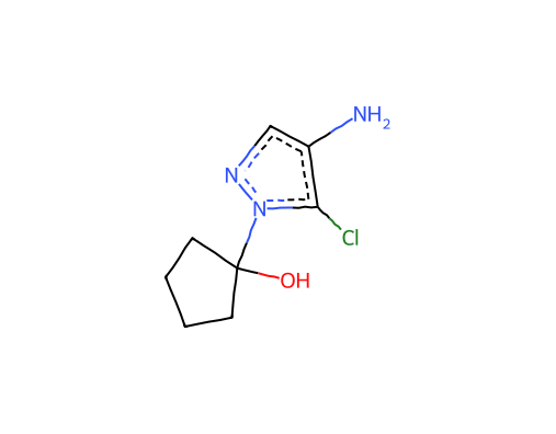 Nc1cnn(C2(O)CCCC2)c1Cl